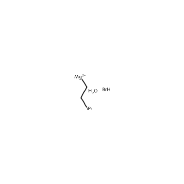 Br.CC(C)C[CH2][Mg+2].O